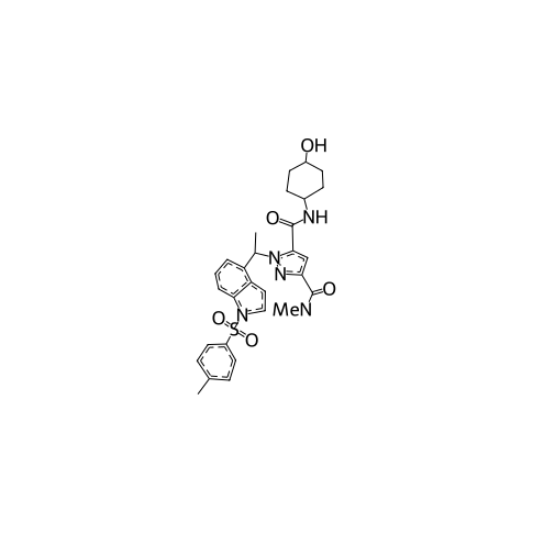 CNC(=O)c1cc(C(=O)NC2CCC(O)CC2)n(C(C)c2cccc3c2ccn3S(=O)(=O)c2ccc(C)cc2)n1